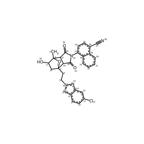 CC12OC(CCn3nc4ccc(Cl)cc4n3)(CC1O)C1C(=O)N(c3ccc(C#N)c4ccccc34)C(=O)C12